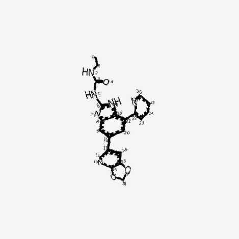 CCNC(=O)Nc1nc2cc(-c3cnc4c(c3)OCO4)cc(-c3ccccn3)c2[nH]1